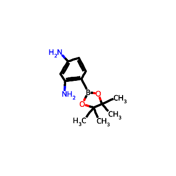 CC1(C)OB(c2ccc(N)cc2N)OC1(C)C